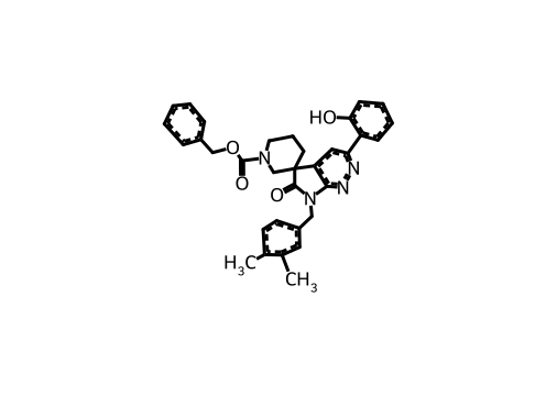 Cc1ccc(CN2C(=O)C3(CCCN(C(=O)OCc4ccccc4)C3)c3cc(-c4ccccc4O)nnc32)cc1C